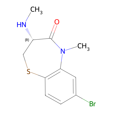 CN[C@H]1CSc2ccc(Br)cc2N(C)C1=O